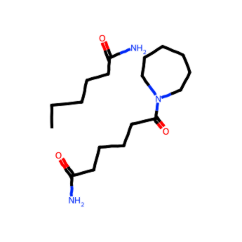 CCCCCC(N)=O.NC(=O)CCCCC(=O)N1CCCCCC1